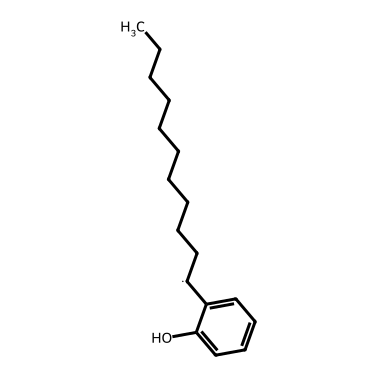 CCCCCCCCCC[CH]c1ccccc1O